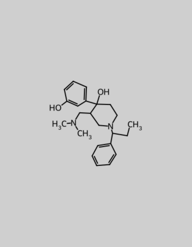 CCC(c1ccccc1)N1CCC(O)(c2cccc(O)c2)C(CN(C)C)C1